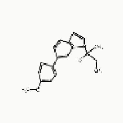 CCC(C)(C)n1ccc2ccc(-c3ccc(OC)cc3)cc21